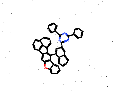 c1ccc(-c2nc(-c3ccccc3)nc(-c3cc(-c4c5c(cc6oc7ccccc7c46)-c4cccc6cccc-5c46)c4ccccc4c3)n2)cc1